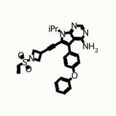 C=CS(=O)(=O)N1CC(C#Cc2c(-c3ccc(Oc4ccccc4)cc3)c3c(N)ncnc3n2C(C)C)C1